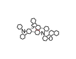 c1ccc(-n2c3ccccc3c3cc(-c4ccc(N(c5ccccc5-c5ccc6sc7ccccc7c6c5)c5cccc6oc7c8ccccc8ccc7c56)cc4)ccc32)cc1